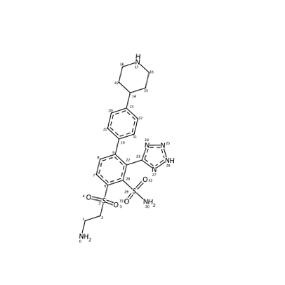 NCCS(=O)(=O)c1ccc(-c2ccc(C3CCNCC3)cc2)c(-c2nn[nH]n2)c1S(N)(=O)=O